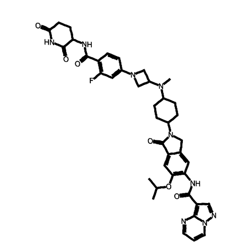 CC(C)Oc1cc2c(cc1NC(=O)c1cnn3cccnc13)CN(C1CCC(N(C)C3CN(c4ccc(C(=O)NC5CCC(=O)NC5=O)c(F)c4)C3)CC1)C2=O